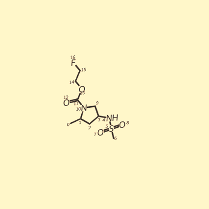 CC1CC(NS(C)(=O)=O)CN1C(=O)OCCF